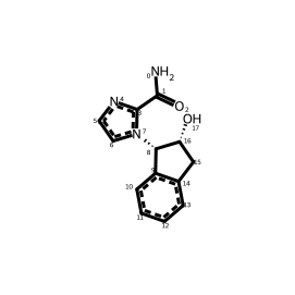 NC(=O)c1n[c]cn1[C@H]1c2ccccc2C[C@H]1O